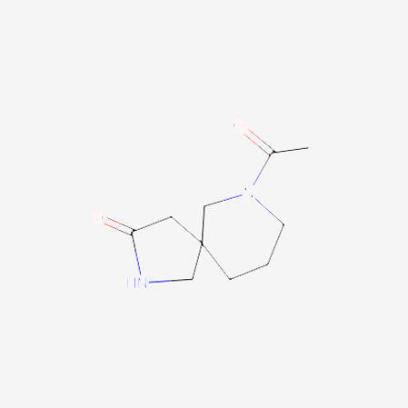 [CH2]C(=O)N1CCCC2(CNC(=O)C2)C1